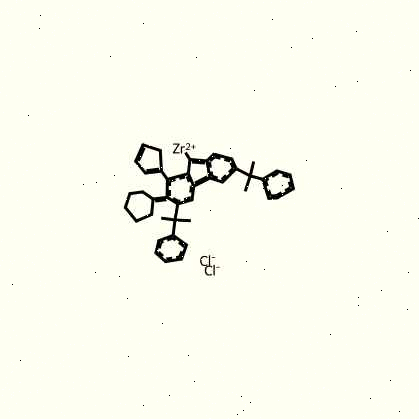 CC(C)(c1ccccc1)c1ccc2c(c1)=c1cc(C(C)(C)c3ccccc3)c(=C3CCCCC3)c(C3=CC=CC3)c1[C]=2[Zr+2].[Cl-].[Cl-]